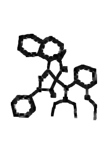 CCOc1ccccc1N(N(CC)CC)C1(NC(C)=O)C(=O)N(c2ccccc2)N=C1c1cccc2ccccc12